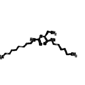 CCCCCCCCCNC(=O)O[C@@H](CN)C(=O)NCCCCCC